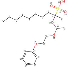 CCCCCCCCC(C)(OC(C)OCCOc1ccccc1)S(=O)(=O)O